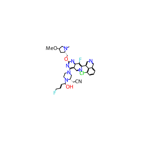 CO[C@@H]1C[C@@H](COc2nc(N3CCN(C(O)/C=C/CF)[C@@H](CC#N)C3)c3cnc(-c4cncc5cccc(Cl)c45)c(F)c3n2)N(C)C1